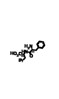 CC(C)C[C@H](NC(=O)[C@H](N)Cc1ccccc1)C(=O)O